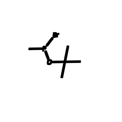 CP(Br)OC(C)(C)C